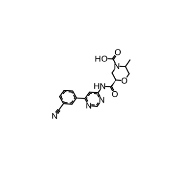 CC1CO[C@@H](C(=O)Nc2cc(-c3cccc(C#N)c3)ncn2)CN1C(=O)O